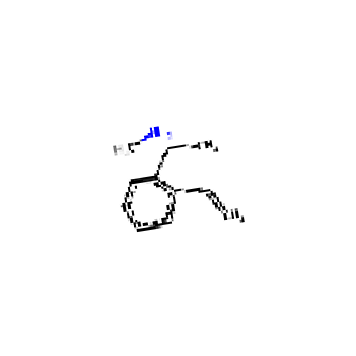 C=Cc1ccccc1CC.CN